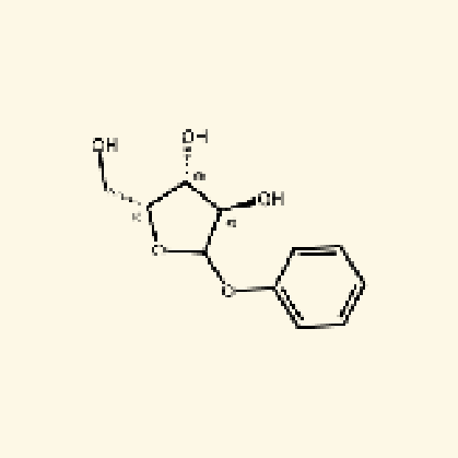 OC[C@H]1OC(Oc2ccccc2)[C@H](O)[C@H]1O